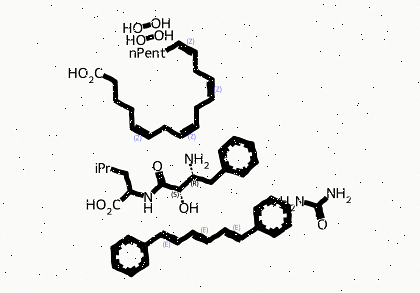 C(=C\C=C\c1ccccc1)/C=C/c1ccccc1.CC(C)CC(NC(=O)[C@@H](O)[C@H](N)Cc1ccccc1)C(=O)O.CCCCC/C=C\C/C=C\C/C=C\C/C=C\CCCC(=O)O.NC(N)=O.OO.OO